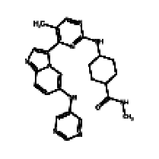 CNC(=O)C1CCC(Nc2ncc(C)c(-c3cnc4ccc(Nc5cncnc5)cn34)n2)CC1